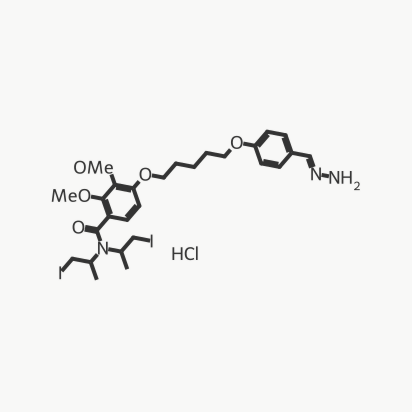 COc1c(OCCCCCOc2ccc(C=NN)cc2)ccc(C(=O)N(C(C)CI)C(C)CI)c1OC.Cl